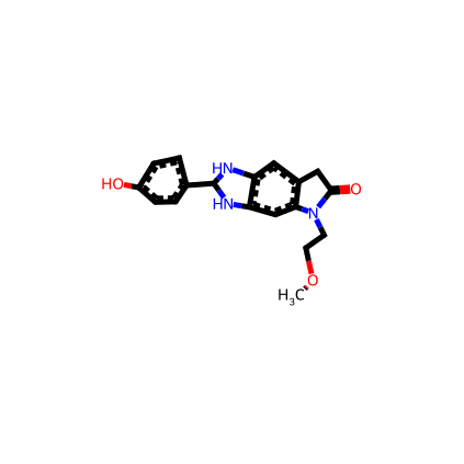 COCCN1C(=O)Cc2cc3c(cc21)NC(c1ccc(O)cc1)N3